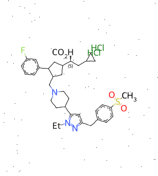 CCn1nc(Cc2ccc(S(C)(=O)=O)cc2)cc1C1CCN(CC2CC([C@H](CC3CC3)C(=O)O)CC2c2cccc(F)c2)CC1.Cl.Cl